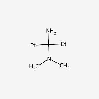 CCC(N)(CC)N(C)C